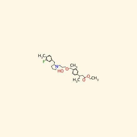 CCOC(=O)CC(C)c1ccc([C@@H](C)OC[C@H](O)CN2CCC[C@H]2Cc2ccc(C)c(F)c2)cc1